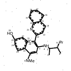 CN/C(=C/C(NC(C)[C@H](C)C(C)C)=C(\C#N)c1ccc2ccccc2n1)c1ccc(O)cc1